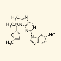 [C-]#[N+]c1ccc2ncn(-c3ncc4nc(C)n([C@H](C)c5ccc(C)o5)c4n3)c2c1